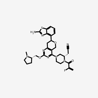 C=C(F)C(=O)N1CCN(c2nc(OC[C@@H]3CCCN3C)nc3c2COC(c2cccc4sc(N)nc24)C3)C[C@@H]1CC#N